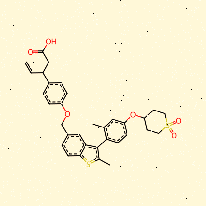 C=CC(CC(=O)O)c1ccc(OCc2ccc3sc(C)c(-c4ccc(OC5CCS(=O)(=O)CC5)cc4C)c3c2)cc1